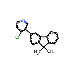 CC1(C)c2ccccc2-c2cc(-c3cnccc3Cl)ccc21